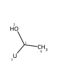 C[CH](O)[U]